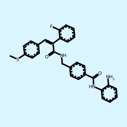 CSc1ccc(C=C(C(=O)NCc2ccc(C(=O)Nc3ccccc3N)cc2)c2ccccc2F)cc1